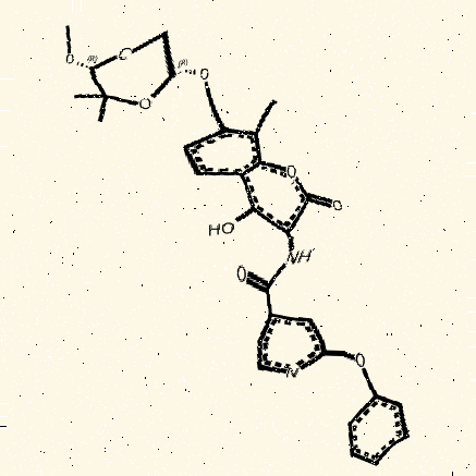 CO[C@@H]1CC[C@H](Oc2ccc3c(O)c(NC(=O)c4ccnc(Oc5ccccc5)c4)c(=O)oc3c2C)OC1(C)C